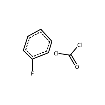 Fc1ccccc1.O=C(Cl)Cl